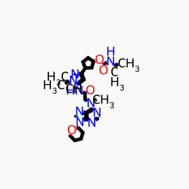 CC(C)NC(=O)OC1CCC(c2cc(NC(=O)CN(C)c3ncnc4c3ncn4C3CCCCO3)n(C(C)(C)C)n2)C1